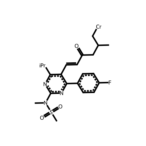 CC([CH2][Cr])CC(=O)/C=C/c1c(-c2ccc(F)cc2)nc(N(C)S(C)(=O)=O)nc1C(C)C